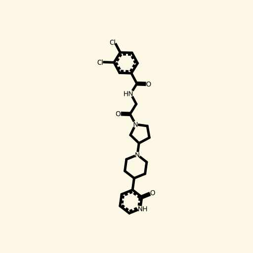 O=C(NCC(=O)N1CCC(N2CCC(c3ccc[nH]c3=O)CC2)C1)c1ccc(Cl)c(Cl)c1